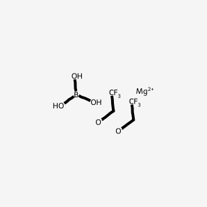 OB(O)O.[Mg+2].[O-]CC(F)(F)F.[O-]CC(F)(F)F